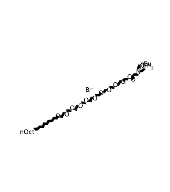 CCCCCCCC/C=C/CCCCCCCCOCCOCCOCCOCCOCCOCCOCCOCCOCCOCCOC(=O)CCN1CC[N+](C)(CCCC)CC1.[Br-]